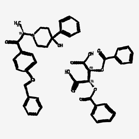 C[C@@H](C(=O)c1ccc(OCc2ccccc2)cc1)N1CCC(O)(c2ccccc2)CC1.O=C(O[C@H](C(=O)O)[C@H](OC(=O)c1ccccc1)C(=O)O)c1ccccc1